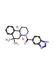 CC1(C)C[C@H]2[C@H](CCCN2C(=O)c2ccc3[nH]cnc3c2)c2ccccc21